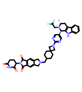 C[C@@H]1Cc2c([nH]c3ccccc23)[C@@H](c2cnc(N3CC4(CCC(CN5Cc6cc7c(cc6C5)C(=O)N(C5CCC(=O)NC5=O)C7=O)CC4)C3)nc2)N1CC(F)F